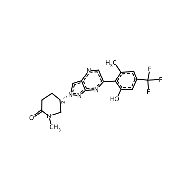 Cc1cc(C(F)(F)F)cc(O)c1-c1cnc2cn([C@H]3CCC(=O)N(C)C3)nc2n1